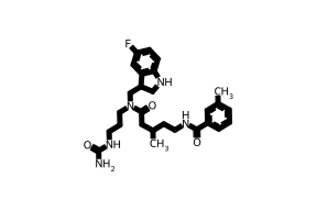 Cc1cccc(C(=O)NCCC(C)CC(=O)N(CCCNC(N)=O)CC2CNc3ccc(F)cc32)c1